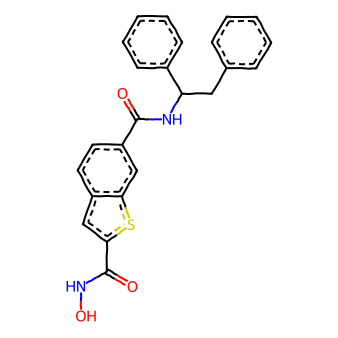 O=C(NC(Cc1ccccc1)c1ccccc1)c1ccc2cc(C(=O)NO)sc2c1